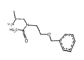 CC(N)CN(CCOCc1ccccc1)C(=O)C(=O)O